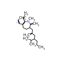 C=CC1=C(/C=C\C)CCC(CC(=C)CC(CCC)C(C)C)C(=C)N1C